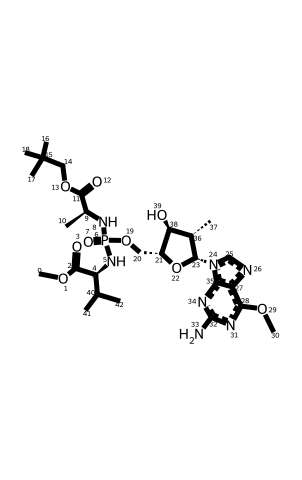 COC(=O)[C@@H](NP(=O)(N[C@@H](C)C(=O)OCC(C)(C)C)OC[C@H]1O[C@@H](n2cnc3c(OC)nc(N)nc32)[C@@H](C)[C@@H]1O)C(C)C